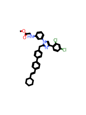 COC(=O)CNc1cccc(-n2cc(-c3ccc(Cl)cc3Cl)nc2Cc2ccc(-c3ccc(/C=C/C4CCCCC4)cc3)cc2)c1